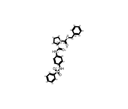 O=C(Nc1ccc(NS(=O)(=O)c2ccccc2)cc1)[C@@H]1CCCN1C(=O)OCc1ccccc1